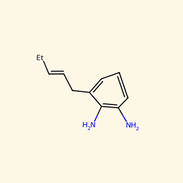 [CH2]C/C=C/Cc1cccc(N)c1N